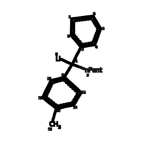 [Li][C](CCCCC)(c1ccccc1)c1ccc(C)cc1